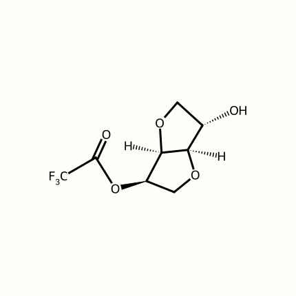 O=C(O[C@@H]1CO[C@H]2[C@@H]1OC[C@@H]2O)C(F)(F)F